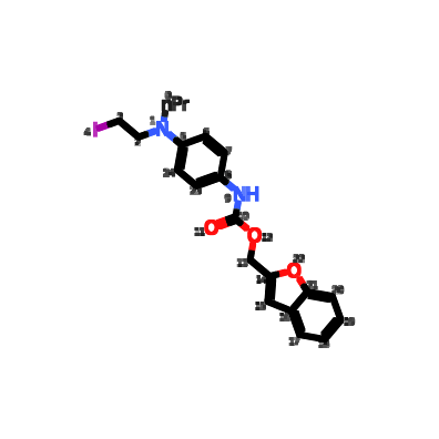 CCCN(CCI)c1ccc(NC(=O)OCc2cc3ccccc3o2)cc1